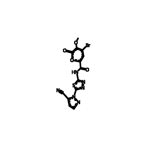 COc1c(Br)cc(C(=O)Nc2nnc(-n3nccc3C#N)s2)oc1=O